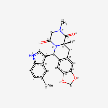 COc1ccc2[nH]cc([C@@H]3c4cc5c(cc4C[C@H]4C(=O)N(C)CC(=O)N34)OCO5)c2c1